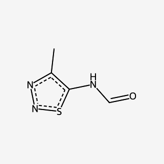 Cc1nnsc1NC=O